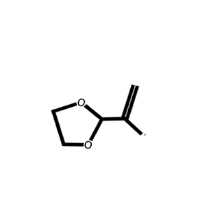 [CH2]C(=C)C1OCCO1